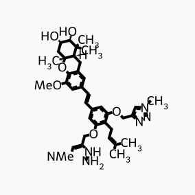 CN/C=C(/COc1cc(/C=C/c2cc3c(c(OC)c2)O[C@]2(C)C[C@@H](O)[C@@H](O)C(C)(C)[C@H]2C3)cc(OCc2cn(C)nn2)c1CC=C(C)C)NN